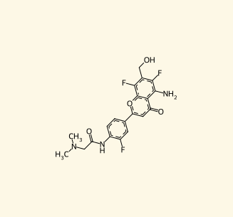 CN(C)CC(=O)Nc1ccc(-c2cc(=O)c3c(N)c(F)c(CO)c(F)c3o2)cc1F